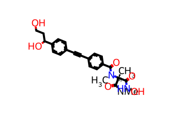 CNC(=O)[C@@](C)(C(=O)NO)N(C)C(=O)c1ccc(C#Cc2ccc(C(O)CCO)cc2)cc1